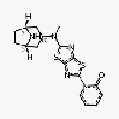 CN(c1nc2sc(-n3ccccc3=O)nc2s1)[C@@H]1C[C@H]2CC[C@@H](C1)N2